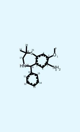 COc1cc2c(cc1N)C(c1ccccc1)NCC(C)(C)S2